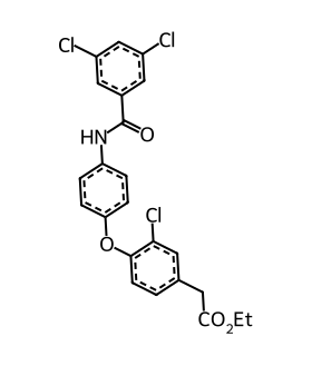 CCOC(=O)Cc1ccc(Oc2ccc(NC(=O)c3cc(Cl)cc(Cl)c3)cc2)c(Cl)c1